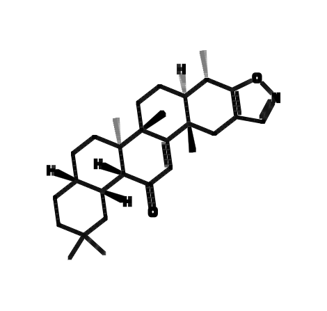 C[C@@H]1c2oncc2C[C@]2(C)C3=CC(=O)[C@@H]4[C@@H]5CC(C)(C)CC[C@@H]5CC[C@@]4(C)[C@]3(C)CC[C@@H]12